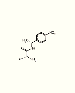 CC(C)[C@@H](N)C(=O)N[C@H](C)c1ccc([N+](=O)[O-])cc1